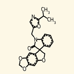 CC(C)c1ncc(CN2C(=O)C3(COc4cc5c(cc43)OCO5)c3ccccc32)o1